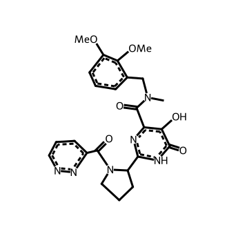 COc1cccc(CN(C)C(=O)c2nc(C3CCCN3C(=O)c3cccnn3)[nH]c(=O)c2O)c1OC